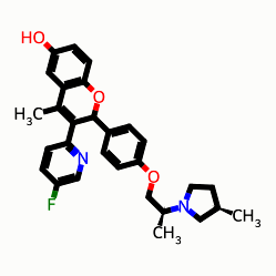 CC1=C(c2ccc(F)cn2)C(c2ccc(OC[C@H](C)N3CC[C@@H](C)C3)cc2)Oc2ccc(O)cc21